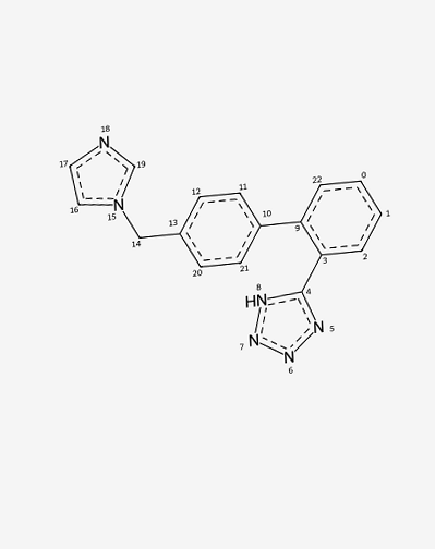 c1ccc(-c2nnn[nH]2)c(-c2ccc(Cn3ccnc3)cc2)c1